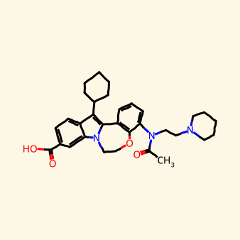 CC(=O)N(CCN1CCCCC1)c1cccc2c1OCCn1c-2c(C2CCCCC2)c2ccc(C(=O)O)cc21